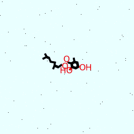 CC(C)=CCCC(C)=CCOC(=O)c1c(C)cc(O)cc1O